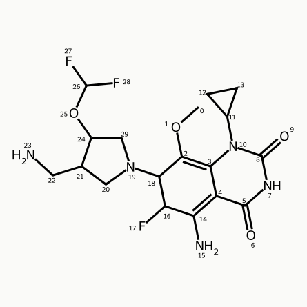 COC1=c2c(c(=O)[nH]c(=O)n2C2CC2)=C(N)C(F)C1N1CC(CN)C(OC(F)F)C1